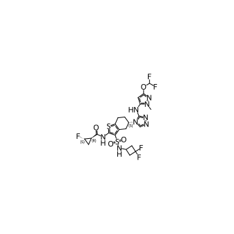 Cn1nc(OC(F)F)cc1Nc1nncn1[C@H]1CCc2sc(NC(=O)[C@H]3C[C@@H]3F)c(S(=O)(=O)NC3CC(F)(F)C3)c2C1